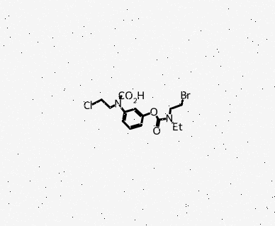 CCN(CCBr)C(=O)Oc1cccc(N(CCCl)C(=O)O)c1